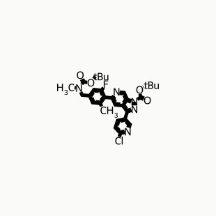 Cc1cc(CN(C)C(=O)OC(C)(C)C)cc(F)c1-c1cc2c(-c3ccc(Cl)nc3)nn(C(=O)OC(C)(C)C)c2cn1